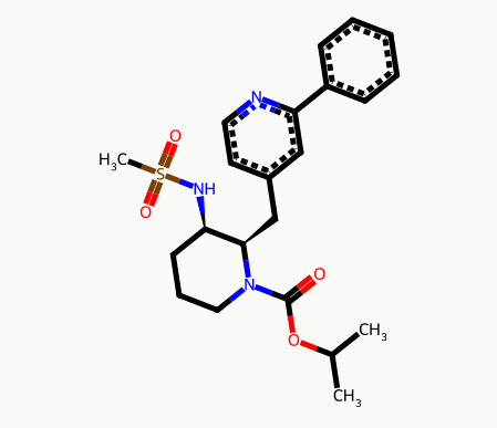 CC(C)OC(=O)N1CCC[C@@H](NS(C)(=O)=O)[C@H]1Cc1ccnc(-c2ccccc2)c1